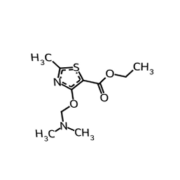 CCOC(=O)c1sc(C)nc1OCN(C)C